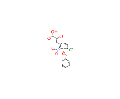 O=C(O)C(=O)Cc1ccc(Cl)c(OCc2ccccc2)c1[N+](=O)[O-]